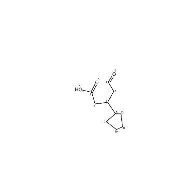 O=CCC(CC(=O)O)C1CCCC1